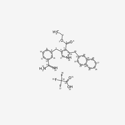 CCOC(=O)c1c(Cc2cccc(C(=N)N)c2)c[nH]c1Cc1ccc2ccccc2c1.O=C(O)C(F)(F)F